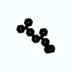 c1ccc(N(c2ccccc2)c2ccc(-c3cccc(N(c4ccccc4)c4ccc(C56CC7CC(CC(C7)C5)C6)cc4)c3)cc2)cc1